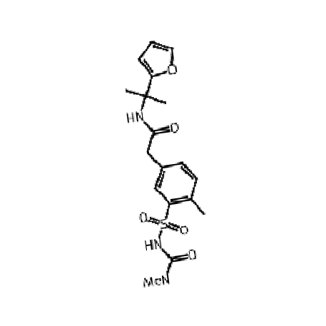 CNC(=O)NS(=O)(=O)c1cc(CC(=O)NC(C)(C)c2ccco2)ccc1C